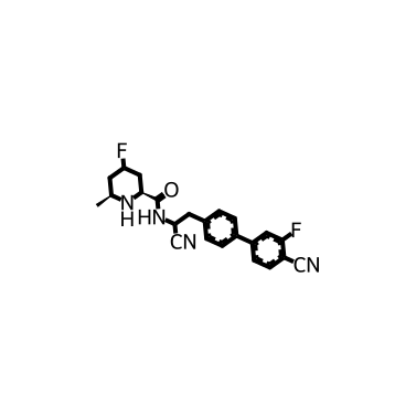 C[C@H]1CC(F)C[C@@H](C(=O)NC(C#N)Cc2ccc(-c3ccc(C#N)c(F)c3)cc2)N1